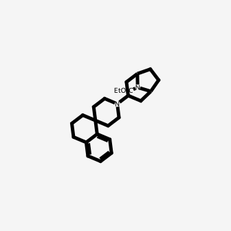 CCOC(=O)N1C2CCC1CC(N1CCC3(CCCc4ccccc43)CC1)C2